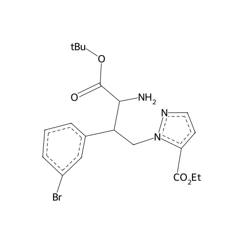 CCOC(=O)c1ccnn1CC(c1cccc(Br)c1)C(N)C(=O)OC(C)(C)C